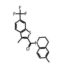 Cc1ccc2c(c1)CCCN2C(=O)c1sc2cc(C(F)(F)F)ccc2c1C